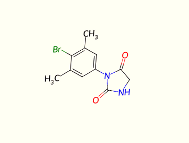 Cc1cc(N2C(=O)CNC2=O)cc(C)c1Br